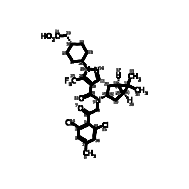 Cc1cc(Cl)c(C(=O)CN(C(=O)c2cnn([C@H]3CC[C@H](CC(=O)O)CC3)c2C(F)(F)F)[C@@H]2C[C@@H]3[C@H](C2)C3(C)C)c(Cl)c1